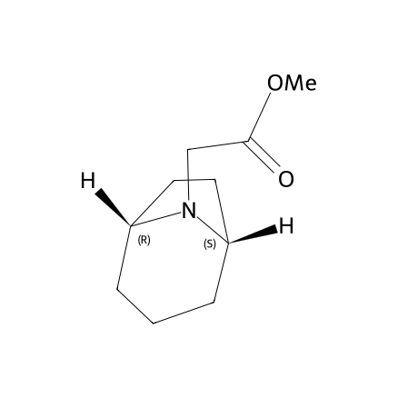 COC(=O)CN1[C@@H]2CCC[C@H]1CC2